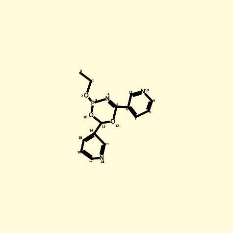 CCOP1N=C(c2cccnc2)OC(c2cccnc2)O1